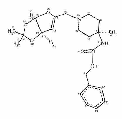 CC1(NC(=O)OCc2ccccc2)CCN(CC2=C[C@H]3OC(C)(C)O[C@H]3O2)CC1